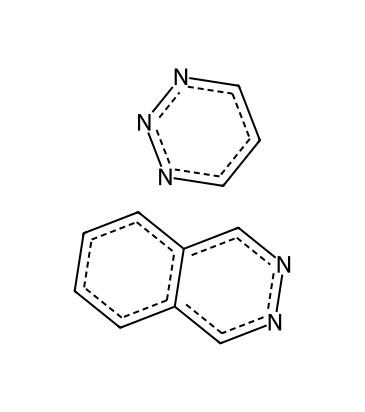 c1ccc2cnncc2c1.c1cnnnc1